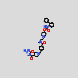 CN(CCN1CCC(OC(=O)Nc2ccccc2-c2ccccc2)CC1)C(=O)c1ccc(CN2CCC(C(=O)N(C)C(N)=O)CC2)cc1